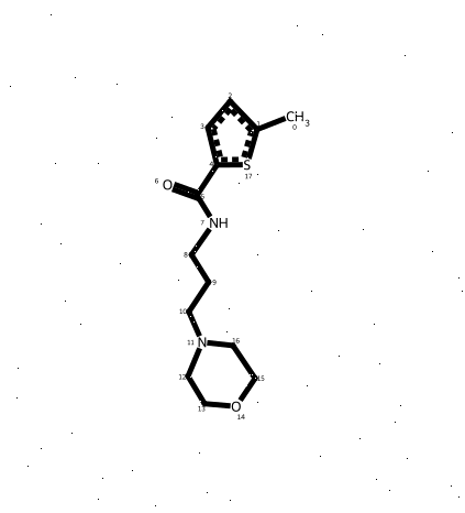 Cc1ccc(C(=O)NCCCN2CCOCC2)s1